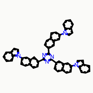 c1ccc2c(c1)ccn2-c1ccc2ccc(-c3nc(-c4ccc5ccc(-n6ccc7ccccc76)cc5c4)nc(-c4ccc5ccc(-n6ccc7ccccc76)cc5c4)n3)cc2c1